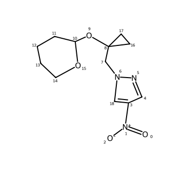 O=[N+]([O-])c1cnn(CC2(OC3CCCCO3)CC2)c1